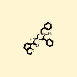 CN(C(=O)c1ccccc1)[C@H](CCNC(=O)c1cccc2c1OCC2)Cc1ccccc1